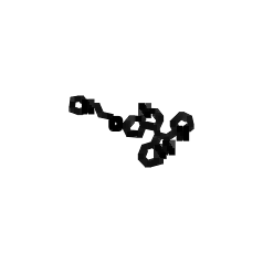 c1ccc(-c2nn3ccccc3c2-c2ccnc3cc(OCCCN4CCCC4)ccc23)nc1